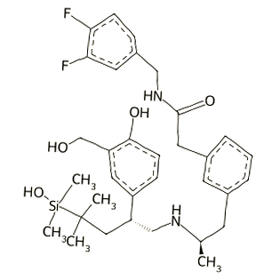 C[C@H](Cc1cccc(CC(=O)NCc2ccc(F)c(F)c2)c1)NC[C@H](CC(C)(C)[Si](C)(C)O)c1ccc(O)c(CO)c1